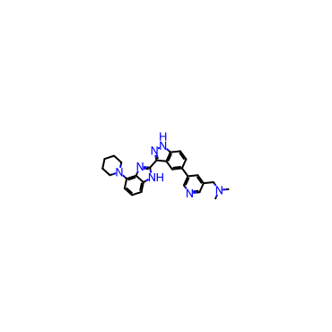 CN(C)Cc1cncc(-c2ccc3[nH]nc(-c4nc5c(N6CCCCC6)cccc5[nH]4)c3c2)c1